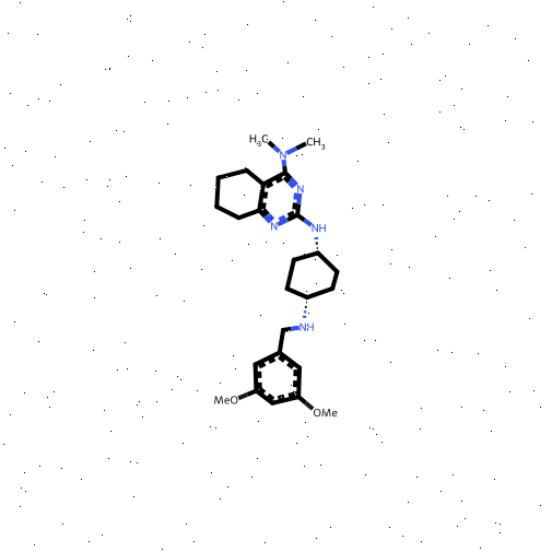 COc1cc(CN[C@H]2CC[C@@H](Nc3nc4c(c(N(C)C)n3)CCCC4)CC2)cc(OC)c1